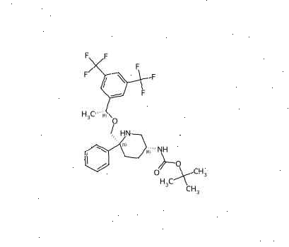 C[C@@H](OC[C@@]1(c2ccccc2)CC[C@@H](NC(=O)OC(C)(C)C)CN1)c1cc(C(F)(F)F)cc(C(F)(F)F)c1